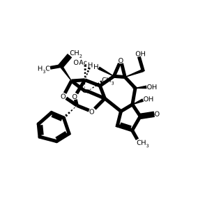 C=C(C)[C@@]12O[C@@]3(c4ccccc4)O[C@@H]1C1[C@@H]4O[C@]4(CO)[C@@H](O)[C@]4(O)C(=O)C(C)=CC4C1(O3)[C@H](C)[C@H]2OC(C)=O